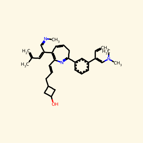 C=C/C(=C\N(C)C)c1cccc(C2=NC(/C=C/CC3CC(O)C3)=C(C(/C=N\C)=C/C(=C)C)C=CC2)c1